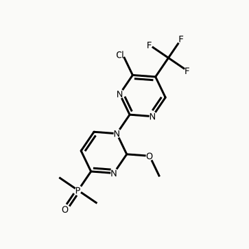 COC1N=C(P(C)(C)=O)C=CN1c1ncc(C(F)(F)F)c(Cl)n1